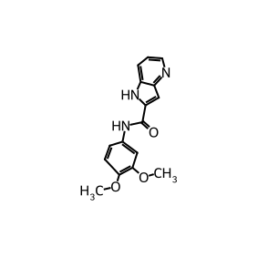 COc1ccc(NC(=O)c2cc3ncccc3[nH]2)cc1OC